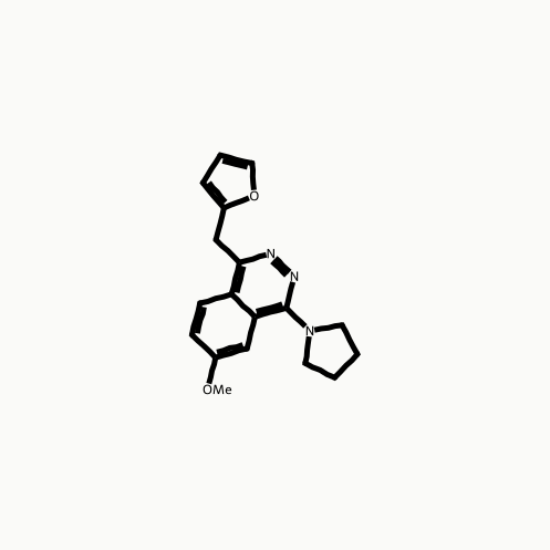 COc1ccc2c(Cc3ccco3)nnc(N3CCCC3)c2c1